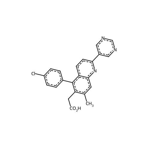 Cc1cc2nc(-c3cncnc3)ccc2c(-c2ccc(Cl)cc2)c1CC(=O)O